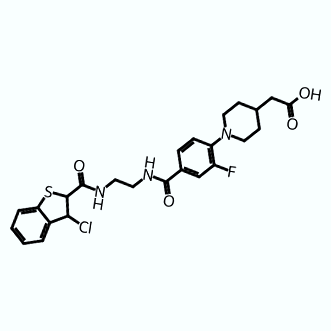 O=C(O)CC1CCN(c2ccc(C(=O)NCCNC(=O)C3Sc4ccccc4C3Cl)cc2F)CC1